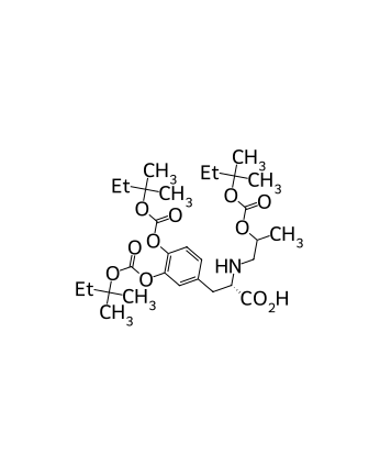 CCC(C)(C)OC(=O)Oc1ccc(C[C@H](NCC(C)OC(=O)OC(C)(C)CC)C(=O)O)cc1OC(=O)OC(C)(C)CC